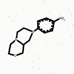 O=[N+]([O-])c1ccc(N2CCN3CCOCC3C2)cc1